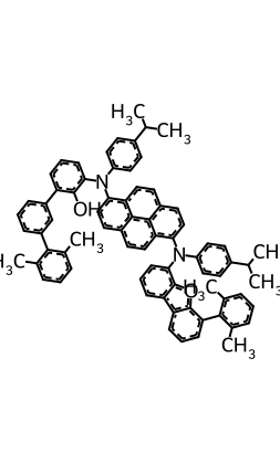 Cc1cccc(C)c1-c1cccc(-c2cccc(N(c3ccc(C(C)C)cc3)c3ccc4ccc5c(N(c6ccc(C(C)C)cc6)c6cccc7c6oc6c(-c8c(C)cccc8C)cccc67)ccc6ccc3c4c65)c2O)c1